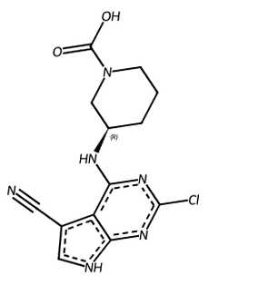 N#Cc1c[nH]c2nc(Cl)nc(N[C@@H]3CCCN(C(=O)O)C3)c12